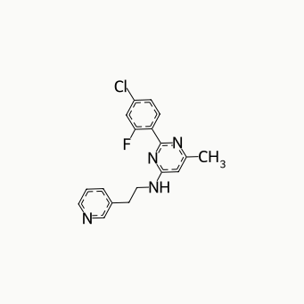 Cc1cc(NCCc2cccnc2)nc(-c2ccc(Cl)cc2F)n1